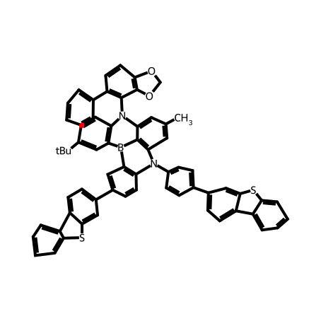 Cc1cc2c3c(c1)N(c1c(-c4ccccc4)ccc4c1OCO4)c1ccc(C(C)(C)C)cc1B3c1cc(-c3ccc4c(c3)sc3ccccc34)ccc1N2c1ccc(-c2ccc3c(c2)sc2ccccc23)cc1